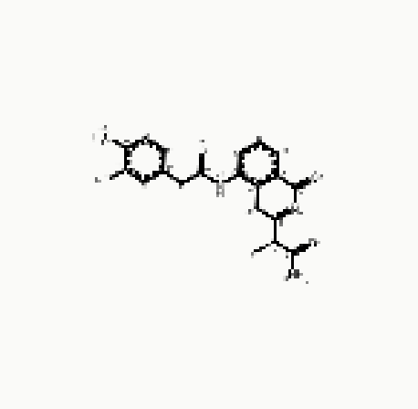 C[C@H](C(N)=O)C1=NC(=O)c2cccc(NC(=O)Cc3ccc(C(F)(F)F)c(F)c3)c2C1